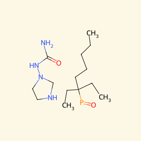 CCCCCC(CC)(CC)P=O.NC(=O)NN1CCNC1